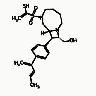 C=C(/C=C/C)c1ccc([C@@H]2[C@@H](CO)N3CCCCN(S(=O)(=O)C(=C)S)C[C@@H]23)cc1